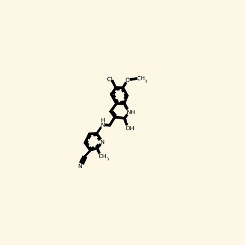 COc1cc2c(cc1Cl)C=C(CNc1ccc(C#N)c(C)n1)C(O)N2